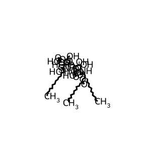 CCCCCCCCCCCC(=O)O[C@H](CCCCCCCCCCC)CC(=O)N[C@@H]1[C@H](OP(=O)(O)O)O[C@H](CO[C@@H]2O[C@H](CO)[C@@H](OP(=O)(O)O)[C@H](O)[C@@H]2NC(=O)C[C@H](O)CCCCCCCCCCC)[C@@H](O)[C@@H]1O